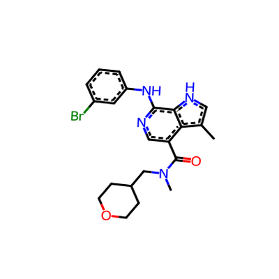 Cc1c[nH]c2c(Nc3cccc(Br)c3)ncc(C(=O)N(C)CC3CCOCC3)c12